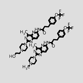 Cc1nc(N2CCN(C)CC2)nc2ccc(NC(=O)CCc3ccc(OC(F)(F)F)cc3)nc12.Cc1nc(N2CCN(CCO)CC2)nc2ccc(NC(=O)CCc3ccc(OC(F)(F)F)cc3)nc12